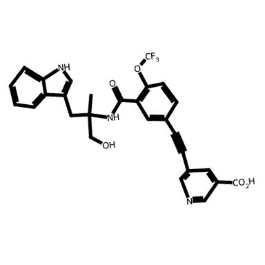 CC(CO)(Cc1c[nH]c2ccccc12)NC(=O)c1cc(C#Cc2cncc(C(=O)O)c2)ccc1OC(F)(F)F